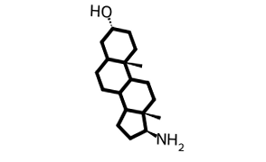 C[C@]12CC[C@@H](O)CC1CCC1C2CC[C@@]2(C)C1CC[C@@H]2N